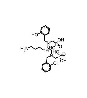 NCCCC[C@@H](CN(Cc1ccccc1O)CP(=O)(O)O)N(Cc1ccccc1O)CP(=O)(O)O